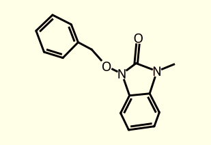 Cn1c(=O)n(OCc2ccccc2)c2ccccc21